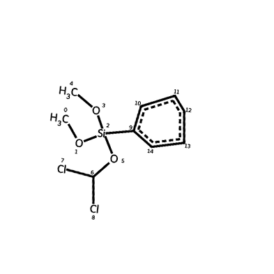 CO[Si](OC)(OC(Cl)Cl)c1ccccc1